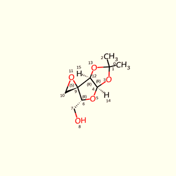 CC1(C)O[C@H]2O[C@H](CO)[C@@]3(CO3)[C@H]2O1